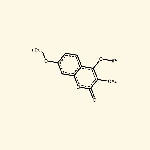 CCCCCCCCCCOc1ccc2c(OC(C)C)c(OC(C)=O)c(=O)oc2c1